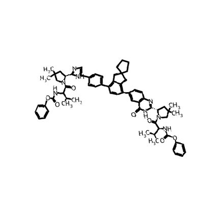 CC(C)C(NC(=O)Oc1ccccc1)C(=O)N1CC(C)(C)C[C@H]1c1ncc(-c2ccc(-c3ccc(-c4ccc5nc([C@@H]6CC(C)(C)CN6C(=O)[C@@H](NC(=O)Oc6ccccc6)C(C)C)[nH]c(=O)c5c4)c4c3CC3(CCCC3)C4)cc2)[nH]1